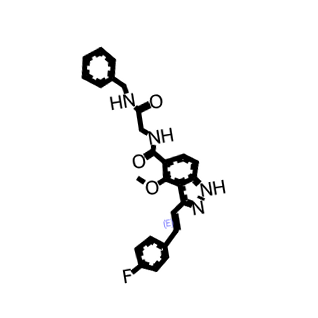 COc1c(C(=O)NCC(=O)NCc2ccccc2)ccc2[nH]nc(/C=C/c3ccc(F)cc3)c12